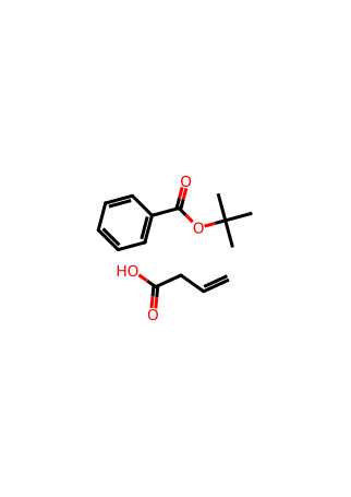 C=CCC(=O)O.CC(C)(C)OC(=O)c1ccccc1